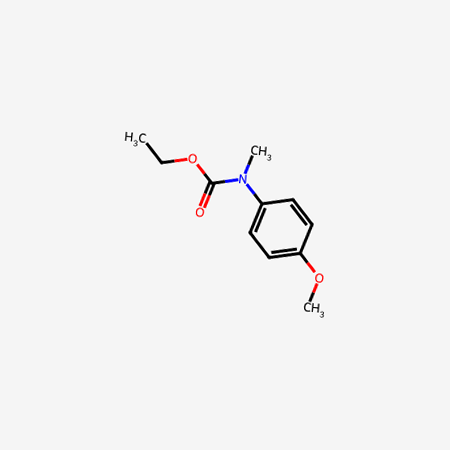 CCOC(=O)N(C)c1ccc(OC)cc1